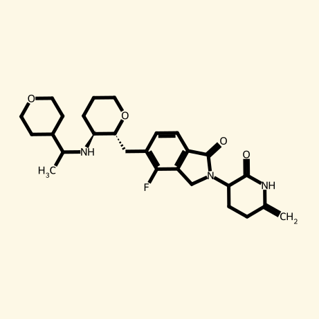 C=C1CCC(N2Cc3c(ccc(C[C@H]4OCCC[C@@H]4NC(C)C4CCOCC4)c3F)C2=O)C(=O)N1